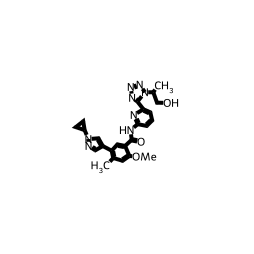 COc1cc(C)c(-c2cnn(C3CC3)c2)cc1C(=O)Nc1cccc(-c2nnnn2C(C)CO)n1